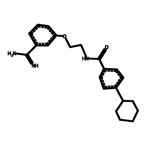 N=C(N)c1cccc(OCCNC(=O)c2ccc(C3CCCCC3)cc2)c1